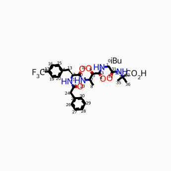 CC[C@H](C)C(NC(=O)C(=O)C(C)NC(=O)[C@H](Cc1ccc(C(F)(F)F)cc1)NC(=O)Cc1ccccc1)C(=O)NC(C)(C)C(=O)O